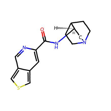 O=C(N[C@@H]1CN2CCC1CC2)c1cc2cscc2cn1